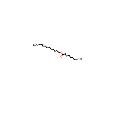 CCCCCCCC/C=C/CCCCCCCCOC(=O)CCCCCCCCCCCCCCCC